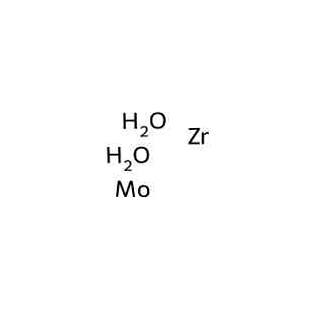 O.O.[Mo].[Zr]